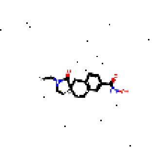 CC(C)CN1CC[C@]2(CCc3cc(C(=O)NO)ccc3C2)C1=O